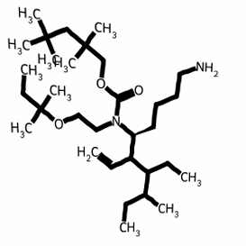 C=CC(C(CC)C(C)CC)[C@H](CCCCN)N(CCOC(C)(C)CC)C(=O)OCC(C)(C)CC(C)(C)C